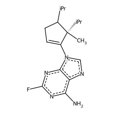 CC(C)C1CC=C(n2cnc3c(N)nc(F)nc32)[C@@]1(C)C(C)C